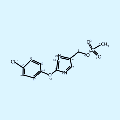 CS(=O)(=O)OCc1cnc(Oc2ccc(Cl)cc2)cn1